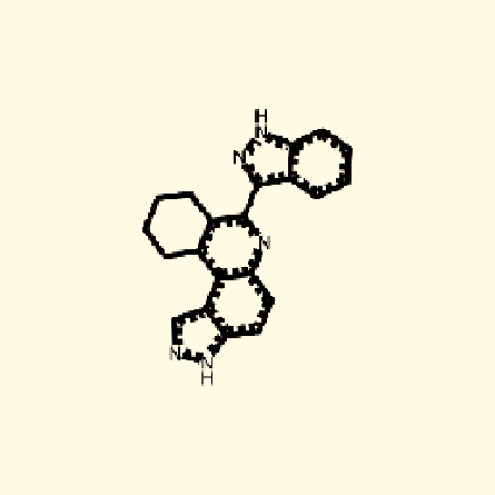 c1ccc2c(-c3nc4ccc5[nH]ncc5c4c4c3CCCC4)n[nH]c2c1